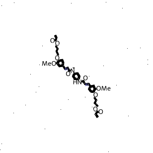 C=CC(=O)OCCCCOc1ccc(/C=C/C(=O)Nc2ccc(N(C)C(=O)/C=C/c3ccc(OCCCCOC(=O)C=C)c(OC)c3)cc2)cc1OC